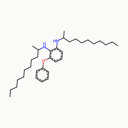 CCCCCCCCCC(C)Nc1cccc(Oc2ccccc2)c1NC(C)CCCCCCCCC